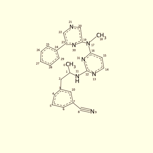 CC(Cc1cccc(C#N)c1)Nc1nccc(N(C)c2cncc(-c3ccccc3)n2)n1